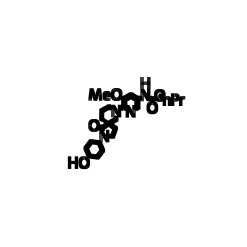 CCCOC(=O)Nc1cnc(N2CCC[C@]3(CCN([C@H]4CC[C@@H](O)CC4)C3=O)C2)c(OC)c1